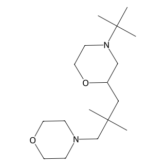 CC(C)(CC1CN(C(C)(C)C)CCO1)CN1CCOCC1